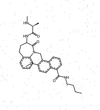 CCCSNC(=O)c1cccc2c(CN3C(=O)C(NC(=O)[C@H](C)NC)CCc4ccccc43)c(OC)ccc12